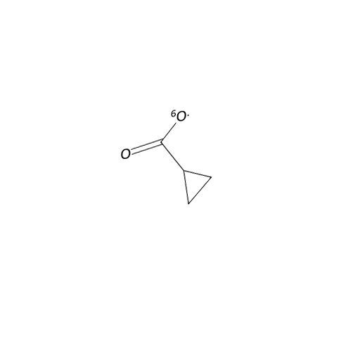 O=C([6O])C1CC1